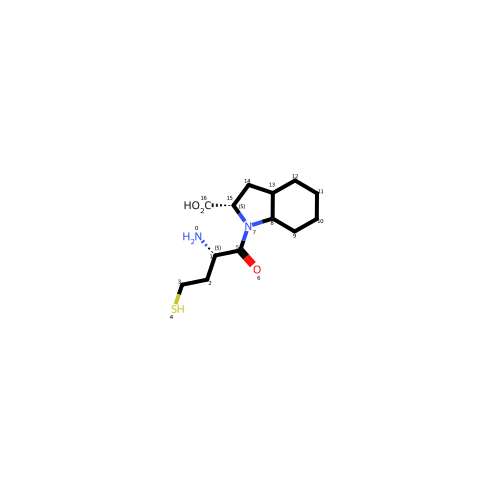 N[C@@H](CCS)C(=O)N1C2CCCCC2C[C@H]1C(=O)O